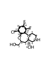 Cl.OC[C@@H]1C[C@@H]2CNCCN2c2c(F)c(F)cc(Cl)c2O1